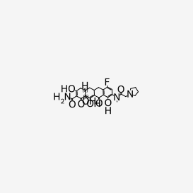 CN(C(=O)CN1CCCC1)c1cc(F)c2c(c1O)C(=O)C1=C(O)[C@]3(O)C(=O)C(C(N)=O)=C(O)C[C@@H]3CC1C2